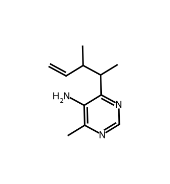 C=CC(C)C(C)c1ncnc(C)c1N